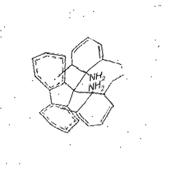 CC1=CC=CC(C)C1(N)C1(C2(N)C(C)=CC=CC2C)c2ccccc2-c2ccccc21